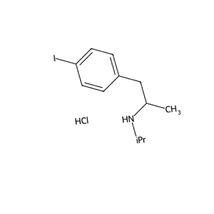 CC(C)NC(C)Cc1ccc(I)cc1.Cl